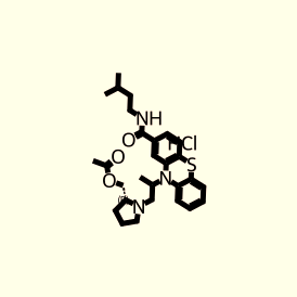 CC(=O)OC[C@H]1CCCN1CC(C)N1c2ccccc2Sc2ccc(C(=O)NCCC(C)C)cc21.Cl